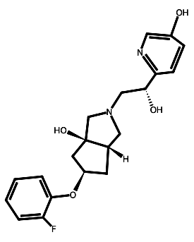 Oc1ccc([C@H](O)CN2C[C@@H]3C[C@@H](Oc4ccccc4F)C[C@]3(O)C2)nc1